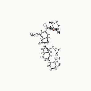 COc1cc(C(=O)N2C[C@H]3CC[C@@H]2[C@@H]3N)cc2nc(-c3cc4ccc(-c5cccc(F)c5O)cc4n3CC3CC3)n(C)c12